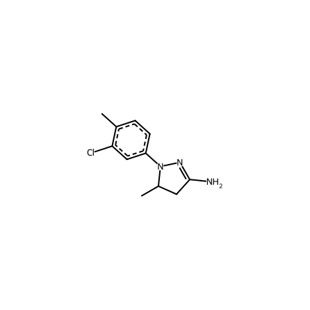 Cc1ccc(N2N=C(N)CC2C)cc1Cl